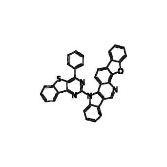 c1ccc(-c2nc(-n3c4ccccc4c4cnc5c(ccc6c7ccccc7oc65)c43)nc3c2sc2ccccc23)cc1